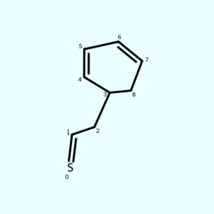 S=[C]CC1C=CC=CC1